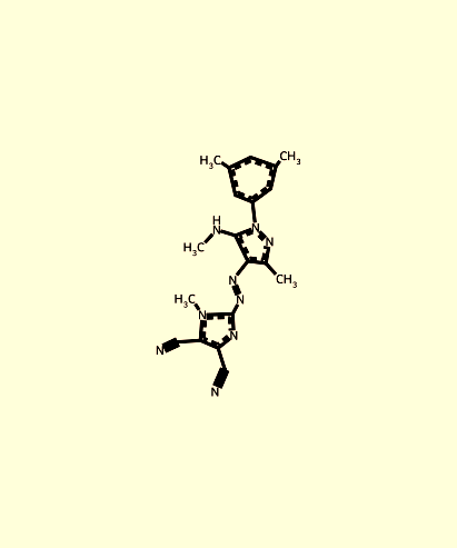 CNc1c(N=Nc2nc(C#N)c(C#N)n2C)c(C)nn1-c1cc(C)cc(C)c1